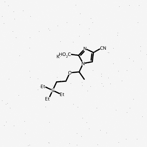 CC[Si](CC)(CC)CCOC(C)n1cc(C#N)nc1C(=O)O.[K]